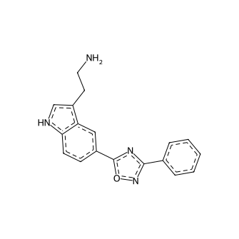 NCCc1c[nH]c2ccc(-c3nc(-c4ccccc4)no3)cc12